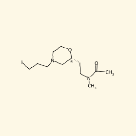 CC(=O)N(C)CC[C@@H]1CN(CCCI)CCO1